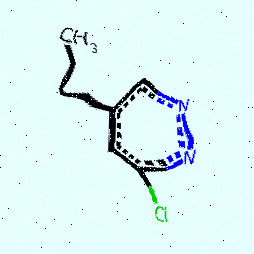 C[CH]c1cnnc(Cl)c1